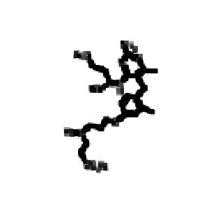 CCC[C@@H](CCOC(C)=O)Nc1nc(N)nc(C)c1Cc1ccc(OCCCN(CC)CCC(=O)OCC)cc1C